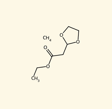 C.CCOC(=O)CC1OCCO1